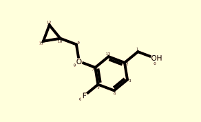 OCc1ccc(F)c(OCC2CC2)c1